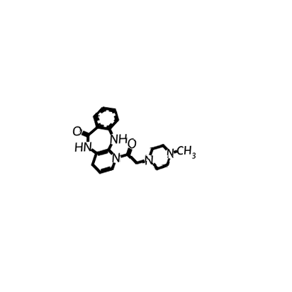 CN1CCN(CC(=O)N2C=CCC3=C2Nc2ccccc2C(=O)N3)CC1